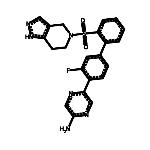 Nc1cnc(-c2ccc(-c3ccccc3S(=O)(=O)N3CCc4[nH]ncc4C3)cc2F)cn1